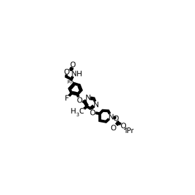 Cc1c(Oc2ccc([C@@H]3COC(=O)N3)cc2F)ncnc1OC1CCN(OC(=O)OC(C)C)CC1